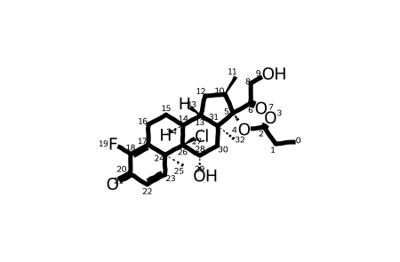 CCC(=O)O[C@@]1(C(=O)CO)[C@H](C)C[C@H]2[C@@H]3CCC4=C(F)C(=O)C=C[C@]4(C)[C@@]3(Cl)[C@@H](O)C[C@@]21C